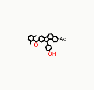 CC(=O)c1ccc2c3c(ccc2c1)-c1ccc(C(=O)c2c(C)cccc2C)cc1C3c1ccc(O)cc1